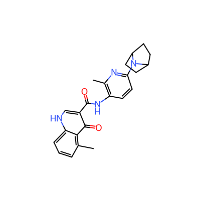 Cc1nc(N2C3CCC2CC3)ccc1NC(=O)c1c[nH]c2cccc(C)c2c1=O